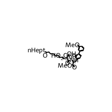 CCCCCCCC(=O)CCCCCCC=C[C@H](C(=O)N[C@@H](Cc1ccc(-c2cccc(OC)c2)cc1)C(=O)OC)[C@@](O)(CCC)C(=O)O